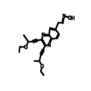 CCOC(C)C#Cc1nc2ccc(CC=NO)cc2nc1C#CC(C)OCC